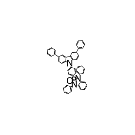 O=P1(c2ccc(-n3c4ccc(-c5ccccc5)cc4c4cc(-c5ccccc5)ccc43)cc2)N(c2ccccc2)c2ccccc2N1c1ccccc1